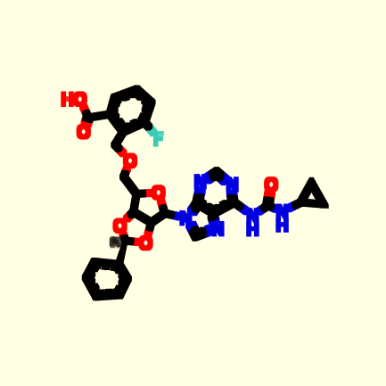 O=C(Nc1ncnc2c1ncn2C1OC(COCc2c(F)cccc2C(=O)O)C2O[C@H](c3ccccc3)OC21)NC1CC1